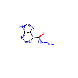 NNC(=O)C1N=CN=C2NC=NC21